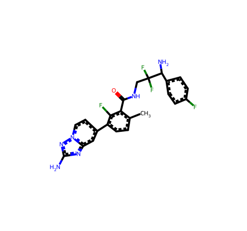 Cc1ccc(-c2ccn3nc(N)nc3c2)c(F)c1C(=O)NCC(F)(F)C(N)c1ccc(F)cc1